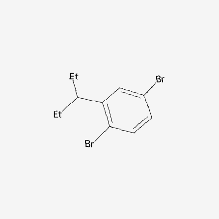 CCC(CC)c1cc(Br)ccc1Br